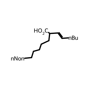 CCCCC=CC(CCCCCCCCCCCCCC)C(=O)O